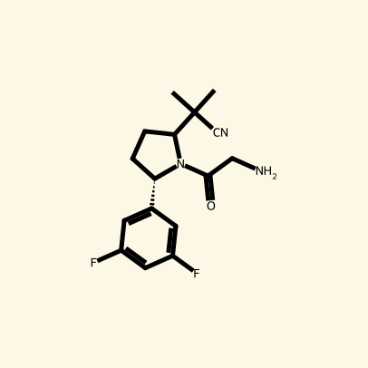 CC(C)(C#N)C1CC[C@@H](c2cc(F)cc(F)c2)N1C(=O)CN